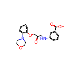 O=C(CNc1cccc(C(=O)O)c1)COc1ccccc1N1CCOCC1